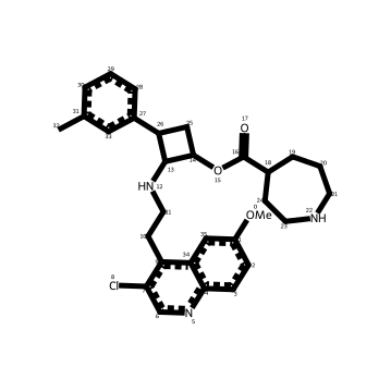 COc1ccc2ncc(Cl)c(CCNC3C(OC(=O)C4CCCNCC4)CC3c3cccc(C)c3)c2c1